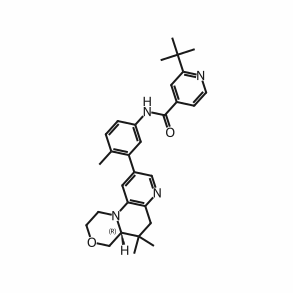 Cc1ccc(NC(=O)c2ccnc(C(C)(C)C)c2)cc1-c1cnc2c(c1)N1CCOC[C@H]1C(C)(C)C2